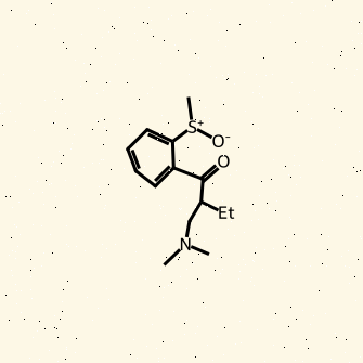 CCC(CN(C)C)C(=O)c1ccccc1[S+](C)[O-]